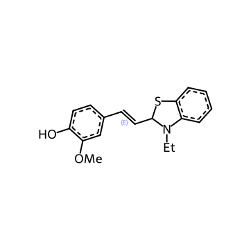 CCN1c2ccccc2SC1/C=C/c1ccc(O)c(OC)c1